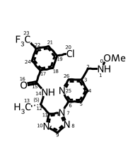 CONCc1ccc(-n2ncnc2[C@H](C)NC(=O)c2cc(Cl)cc(C(F)(F)F)c2)nc1